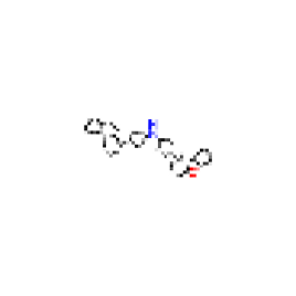 CC1(c2ccc(Nc3ccc(-c4cccc5c4ccc4ccccc45)cc3)cc2)C=CC=C2Oc3ccccc3C21